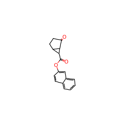 O=C1CCC2C1C2C(=O)Oc1ccc2ccccc2c1